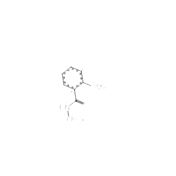 CCCCCCNC(=O)c1ccccc1SC